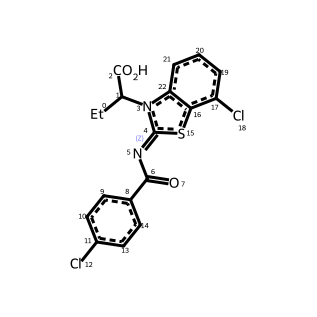 CCC(C(=O)O)n1/c(=N/C(=O)c2ccc(Cl)cc2)sc2c(Cl)cccc21